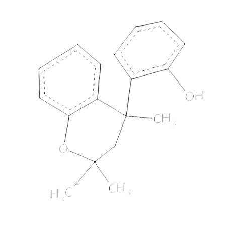 CC1(C)CC(C)(c2ccccc2O)c2ccccc2O1